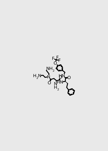 NCCN(CCN)C(=O)C[C@H](N)C(=O)N[C@H](CCc1ccccc1)C(=O)NCc1ccc(OC(F)(F)F)cc1